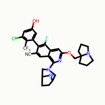 N#Cc1cc2c(N3CC4CCC(C3)N4)nc(OCC34CCCN3CCC4)cc2c(F)c1-c1cc(O)cc(Cl)c1C(F)(F)F